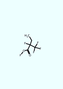 CCC(F)(C(=O)OF)C(F)(F)F